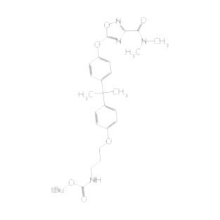 CN(C)C(=O)c1noc(Oc2ccc(C(C)(C)c3ccc(OCCCNC(=O)OC(C)(C)C)cc3)cc2)n1